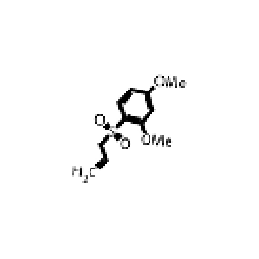 C=CCS(=O)(=O)c1ccc(OC)cc1OC